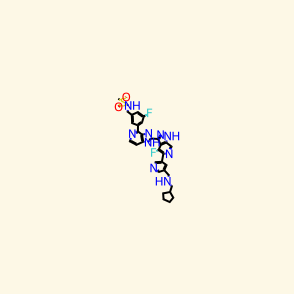 CS(=O)(=O)NCc1cc(F)cc(-c2nccc3[nH]c(-c4n[nH]c5cnc(-c6cncc(CNCC7CCCC7)c6)c(F)c45)nc23)c1